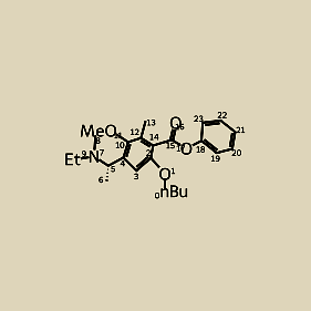 CCCCOc1cc([C@H](C)N(C)CC)c(OC)c(C)c1C(=O)Oc1ccccc1